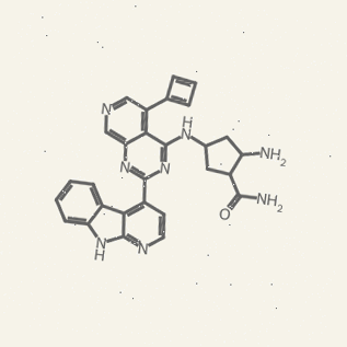 NC(=O)C1CC(Nc2nc(-c3ccnc4[nH]c5ccccc5c34)nc3cncc(C4=CC=C4)c23)CC1N